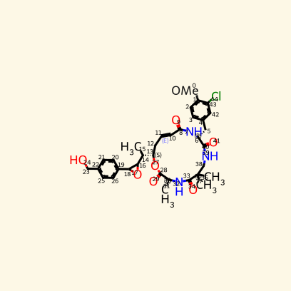 COc1ccc(C[C@H]2NC(=O)/C=C/C[C@@H](C(C)C3OC3c3ccc(CO)cc3)OC(=O)[C@H](C)NC(=O)C(C)(C)CNC2=O)cc1Cl